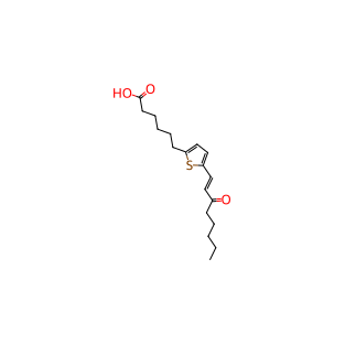 CCCCCC(=O)C=Cc1ccc(CCCCCC(=O)O)s1